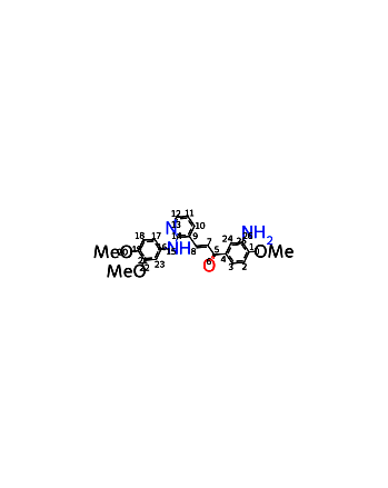 COc1ccc(C(=O)/C=C/c2cccnc2Nc2ccc(OC)c(OC)c2)cc1N